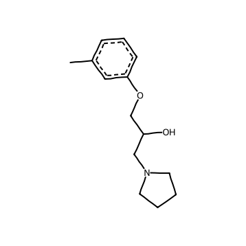 Cc1cccc(OCC(O)CN2CCCC2)c1